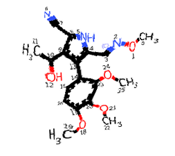 CO/N=C/c1[nH]c(C#N)c(C(C)O)c1-c1ccc(OC)c(OC)c1OC